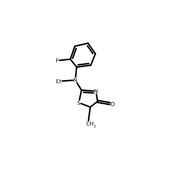 CCN(C1=NC(=O)C(C)S1)c1ccccc1F